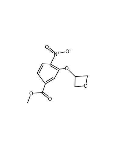 COC(=O)c1ccc([N+](=O)[O-])c(OC2COC2)c1